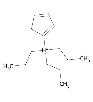 CC[CH2][Hf]([CH2]CC)([CH2]CC)[C]1=CC=CC1